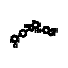 Clc1nccc(N2CC=C(c3cc4c(Nc5ccc6[nH]ncc6c5)ncnc4[nH]3)CC2)n1